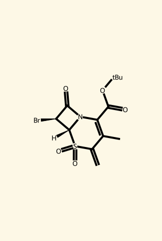 C=C1C(C)=C(C(=O)OC(C)(C)C)N2C(=O)[C@H](Br)[C@H]2S1(=O)=O